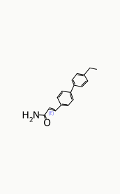 CCc1ccc(-c2ccc(/C=C/C(N)=O)cc2)cc1